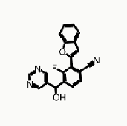 N#Cc1ccc(C(O)c2cncnc2)c(F)c1-c1cc2ccccc2o1